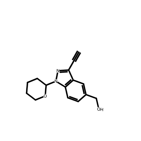 C#Cc1nn(C2CCCCO2)c2ccc(CO)cc12